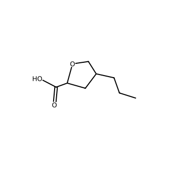 CCCC1COC(C(=O)O)C1